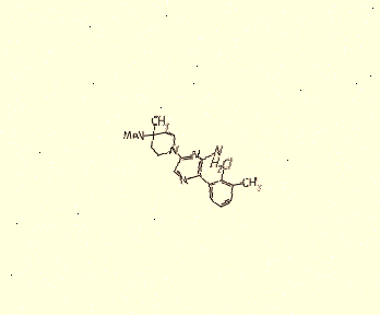 CNC1(C)CCN(c2cnc(-c3cccc(C)c3Cl)c(N)n2)CC1